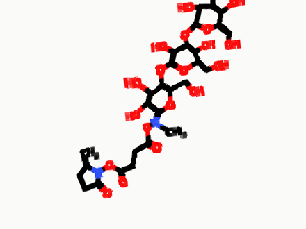 C=C1CCC(=O)N1OC(=O)CCC(=O)ON(C)C1OC(CO)C(OC2OC(CO)C(O)C(OC3OC(CO)C(O)C(O)C3O)C2O)C(O)C1O